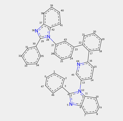 c1ccc(-c2nc3ccccc3n2-c2ccc(-c3ccccc3-c3cccc(-n4c(-c5ccccc5)nc5ccccc54)c3)nc2)cc1